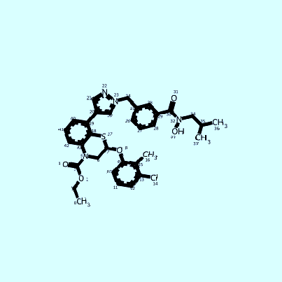 CCOC(=O)N1CC(Oc2cccc(Cl)c2C)Sc2c(-c3cnn(Cc4cccc(C(=O)N(O)CC(C)C)c4)c3)cccc21